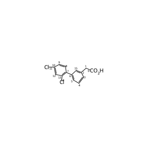 O=C(O)Cc1cccc(-c2ccc(Cl)cc2Cl)c1